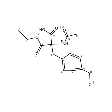 CCOC(=O)C(Cc1ccc(CO)cc1)(NC(C)=O)C(=O)O